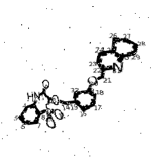 O=C1Nc2ccccc2S(=O)(=O)C1OCc1cccc(OCc2ccc3ccccc3n2)c1